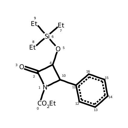 CCOC(=O)N1C(=O)C(O[Si](CC)(CC)CC)C1c1ccccc1